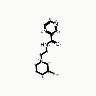 O=C(NCCN1CCCC(F)C1)c1cnccn1